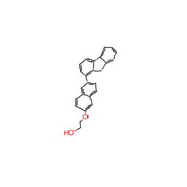 OCCOc1ccc2cc(-c3cccc4c3Cc3ccccc3-4)ccc2c1